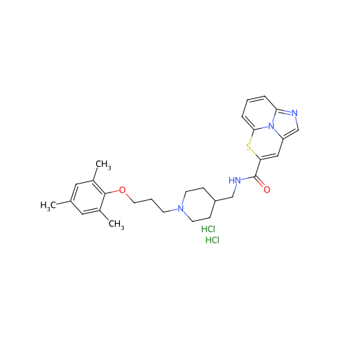 Cc1cc(C)c(OCCCN2CCC(CNC(=O)C3=Cc4cnc5cccc(n45)S3)CC2)c(C)c1.Cl.Cl